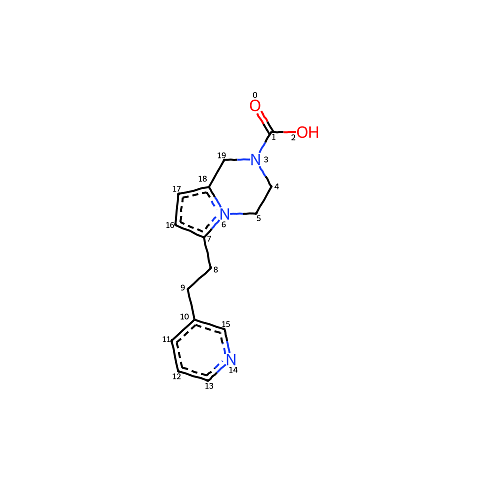 O=C(O)N1CCn2c(CCc3cccnc3)ccc2C1